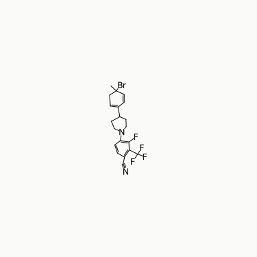 CC1(Br)C=CC(C2CCN(c3ccc(C#N)c(C(F)(F)F)c3F)CC2)=CC1